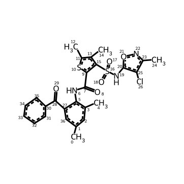 Cc1cc(C)c(NC(=O)c2sc(C)c(C)c2S(=O)(=O)Nc2onc(C)c2Cl)c(C(=O)c2ccccc2)c1